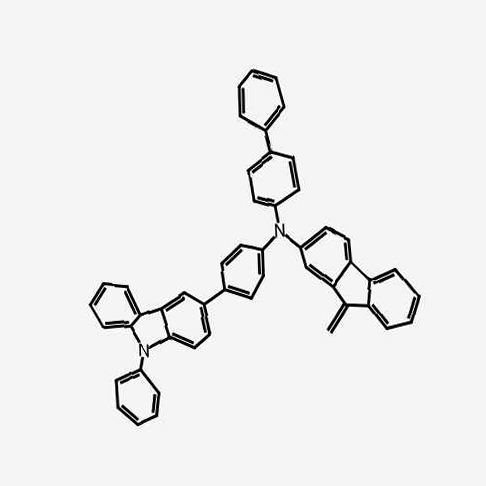 C=C1c2ccccc2-c2ccc(N(c3ccc(-c4ccccc4)cc3)c3ccc(-c4ccc5c(c4)c4ccccc4n5-c4ccccc4)cc3)cc21